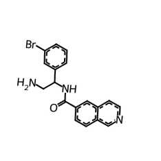 NCC(NC(=O)c1ccc2cnccc2c1)c1cccc(Br)c1